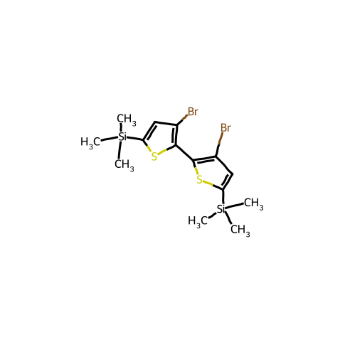 C[Si](C)(C)c1cc(Br)c(-c2sc([Si](C)(C)C)cc2Br)s1